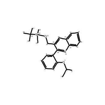 CC(C)Oc1ccccc1-c1nc2ccccc2cc1CO[Si](C)(C)C(C)(C)C